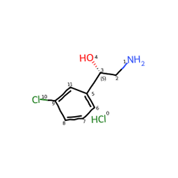 Cl.NC[C@@H](O)c1cccc(Cl)c1